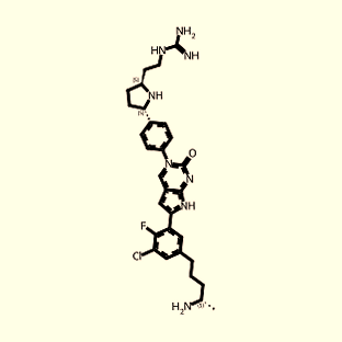 C[C@H](N)CCCc1cc(Cl)c(F)c(-c2cc3cn(-c4ccc([C@@H]5CC[C@@H](CCNC(=N)N)N5)cc4)c(=O)nc3[nH]2)c1